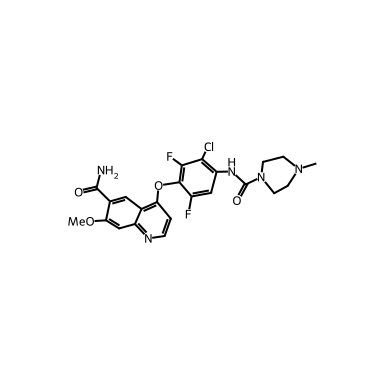 COc1cc2nccc(Oc3c(F)cc(NC(=O)N4CCN(C)CC4)c(Cl)c3F)c2cc1C(N)=O